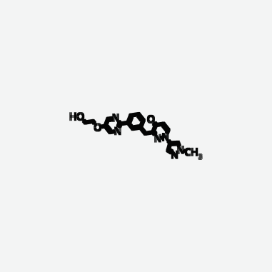 Cn1cc(-n2ccc(=O)c(Cc3cccc(-c4ncc(OCCO)cn4)c3)n2)cn1